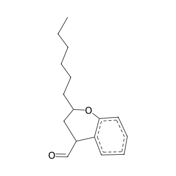 CCCCCCC1CC(C=O)c2ccccc2O1